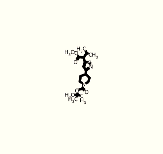 COC(=O)C(c1cc(C2CCN(C(=O)OC(C)(C)C)CC2)no1)C(C)C